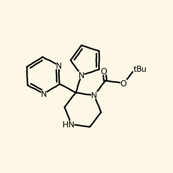 CC(C)(C)OC(=O)N1CCNCC1(c1ncccn1)n1cccc1